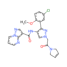 COc1ccc(Cl)cc1-c1nn(CC(=O)N2CC=CC2)cc1NC(=O)c1cnn2cccnc12